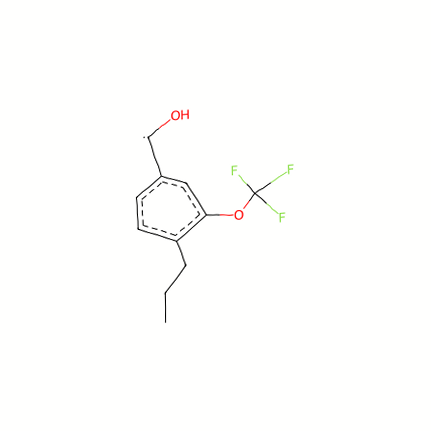 CCCc1ccc([CH]O)cc1OC(F)(F)F